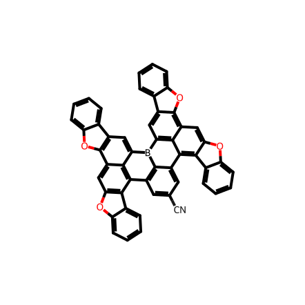 N#Cc1cc2c3c(c1)-c1c4c(cc5c6ccccc6oc5c4cc4oc5ccccc5c14)B3c1cc3c4ccccc4oc3c3cc4oc5ccccc5c4c-2c13